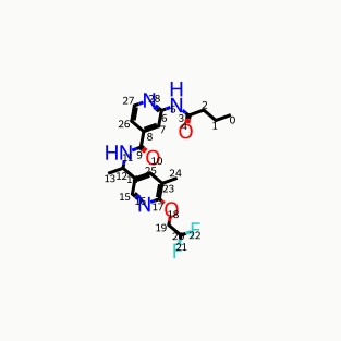 CCCC(=O)Nc1cc(C(=O)NC(C)c2cnc(OCC(F)F)c(C)c2)ccn1